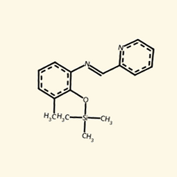 Cc1cccc(N=Cc2ccccn2)c1O[Si](C)(C)C